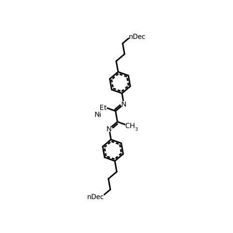 CCCCCCCCCCCCCc1ccc(/N=C(C)/C(CC)=N/c2ccc(CCCCCCCCCCCCC)cc2)cc1.[Ni]